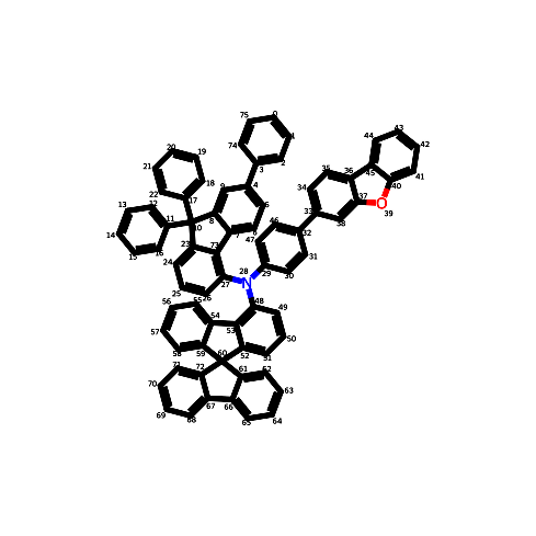 c1ccc(-c2ccc3c(c2)C(c2ccccc2)(c2ccccc2)c2cccc(N(c4ccc(-c5ccc6c(c5)oc5ccccc56)cc4)c4cccc5c4-c4ccccc4C54c5ccccc5-c5ccccc54)c2-3)cc1